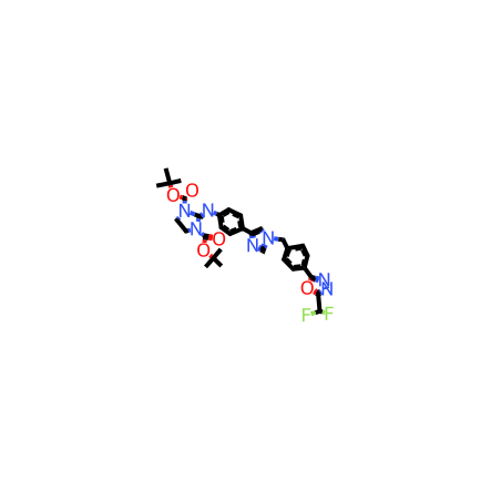 CC(C)(C)OC(=O)N1CCN(C(=O)OC(C)(C)C)C1=Nc1ccc(-c2cn(Cc3ccc(-c4nnc(C(F)F)o4)cc3)cn2)cc1